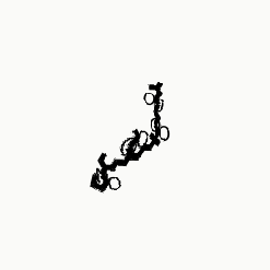 C=C(C)CC(=O)OCCOC(=O)C(C)(C)CCCC(CCCC(CC)N1CCCC1=O)OC(C)=O